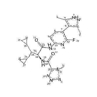 Cc1n[nH]c(C)c1-c1ccc(NC(=O)[C@@H](NC(=O)c2nnnn2C)C(C2CC2)C2CC2)nc1F